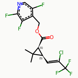 CC1(C)[C@H](C=C(Cl)C(F)(F)F)[C@@H]1C(=O)OCc1c(F)cnc(F)c1F